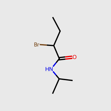 CCC(Br)C(=O)NC(C)C